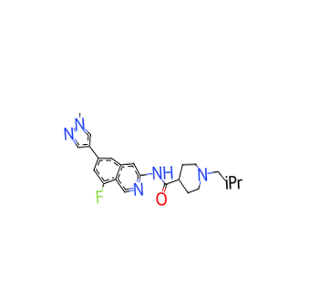 CC(C)CN1CCC(C(=O)Nc2cc3cc(-c4cnn(C)c4)cc(F)c3cn2)CC1